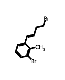 Cc1c(Br)cccc1/C=C/CCBr